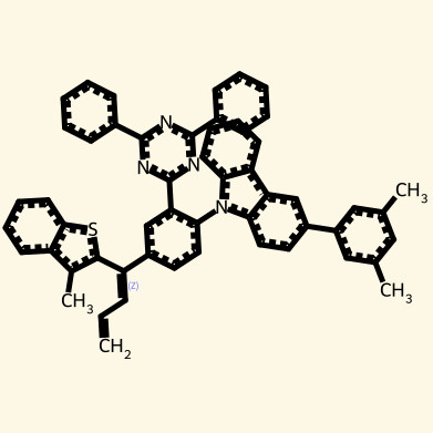 C=C/C=C(/c1ccc(-n2c3ccccc3c3cc(-c4cc(C)cc(C)c4)ccc32)c(-c2nc(-c3ccccc3)nc(-c3ccccc3)n2)c1)c1sc2ccccc2c1C